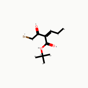 CCC=C(C(=O)CBr)C(=O)OC(C)(C)C